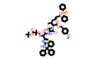 COc1ccc(COC(=O)C2=C(C/C=C/COP(=O)(c3ccccc3)c3ccccc3)CS[C@@H]3[C@H](NC(=O)/C(=N\OC(C)(C)C(=O)OC(C)(C)C)c4csc(NC(c5ccccc5)(c5ccccc5)c5ccccc5)n4)C(=O)N23)cc1